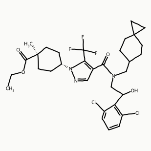 CCOC(=O)[C@]1(C)CC[C@@H](n2ncc(C(=O)N(CC3CCC4(CC3)CC4)CC(O)c3c(Cl)cccc3Cl)c2C(F)(F)F)CC1